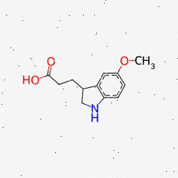 COc1ccc2c(c1)C(CCC(=O)O)CN2